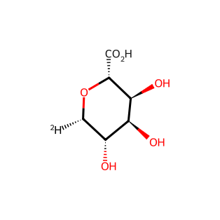 [2H][C@@H]1O[C@H](C(=O)O)[C@@H](O)[C@@H](O)[C@@H]1O